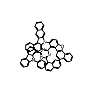 c1ccc(-n2c3ccccc3c3cccc(-c4nc(-c5cccc6ccccc56)nc(-c5c(-n6c7cc8ccccc8cc7c7c8ccccc8ccc76)ccc6oc7c8ccccc8ccc7c56)n4)c32)cc1